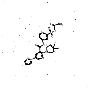 NC(=O)OS(=O)(=O)c1cc(NC(=O)c2cc(-n3cccn3)cnc2N2CCC(F)(F)CC2)ccn1